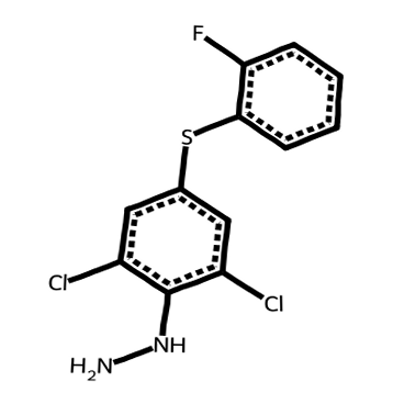 NNc1c(Cl)cc(Sc2ccccc2F)cc1Cl